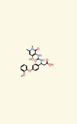 COc1ccccc1Oc1ccc(C(CC(=O)O)NC(=O)Nc2c(O)cc(C)n(C)c2=O)cc1